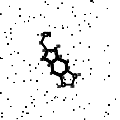 N#CCc1nc2cc3c(cc2s1)OCO3